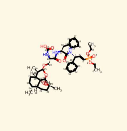 CCOP(=O)(/C=C/[C@@H](NC(=O)[C@H](Cc1ccccc1)NC(=O)[C@H](CO[C@H]1O[C@@H]2O[C@@]3(C)CC[C@H]4[C@H](C)CC[C@@H]([C@H]1C)[C@@]24OO3)NC(=O)O)c1ccccc1)OCC